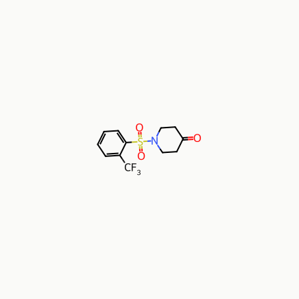 O=C1CCN(S(=O)(=O)c2ccccc2C(F)(F)F)CC1